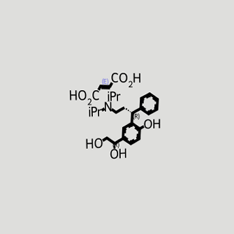 CC(C)N(CC[C@H](c1ccccc1)c1cc([C@@H](O)CO)ccc1O)C(C)C.O=C(O)/C=C/C(=O)O